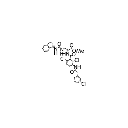 COC(=O)[C@H](CNC(=O)N[C@@H]1CCc2ccccc21)NC(=O)c1c(Cl)ccc(NC(=O)Cc2cccc(Cl)c2)c1Cl